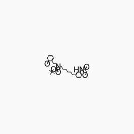 CC(C)(C)OC(=O)N(CCCCCCc1ccc2c(c1)NC(=O)CO2)CCC1=CC=CCC1=O